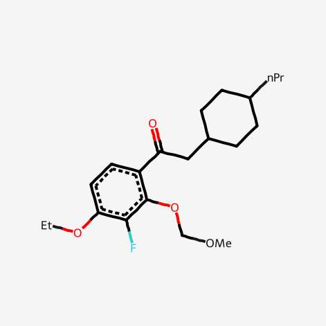 CCCC1CCC(CC(=O)c2ccc(OCC)c(F)c2OCOC)CC1